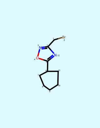 BrCc1noc(C2CCCCC2)n1